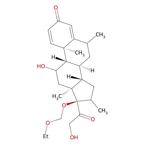 CCOCO[C@]1(C(=O)CO)C(C)C[C@H]2[C@@H]3CC(C)C4=CC(=O)C=C[C@]4(C)[C@H]3C(O)C[C@@]21C